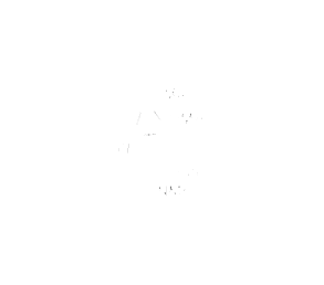 CNC(CCc1cccc(OC)c1OC)C(=O)O.Cl